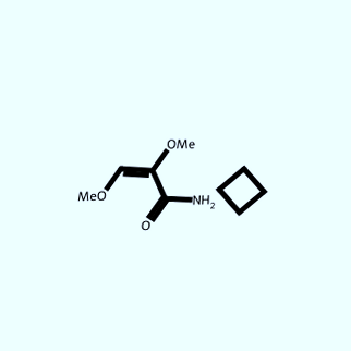 C1CCC1.COC=C(OC)C(N)=O